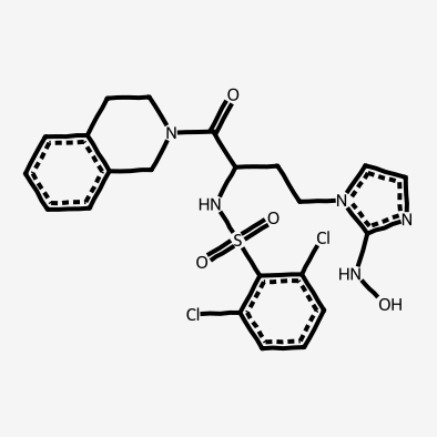 O=C(C(CCn1ccnc1NO)NS(=O)(=O)c1c(Cl)cccc1Cl)N1CCc2ccccc2C1